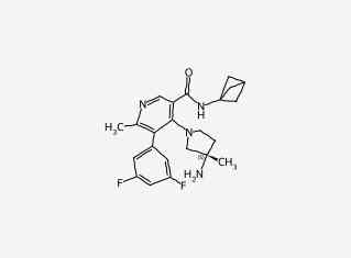 Cc1ncc(C(=O)NC23CC(C2)C3)c(N2CC[C@](C)(N)C2)c1-c1cc(F)cc(F)c1